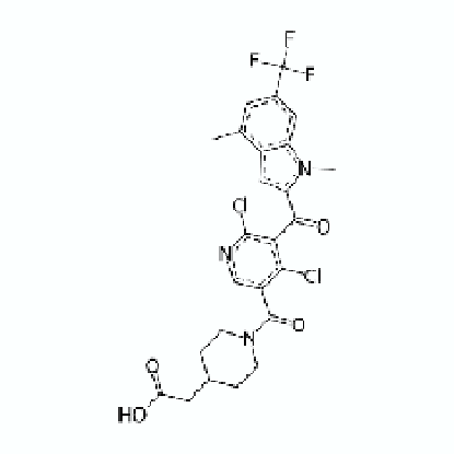 Cc1cc(C(F)(F)F)cc2c1cc(C(=O)c1c(Cl)ncc(C(=O)N3CCC(CC(=O)O)CC3)c1Cl)n2C